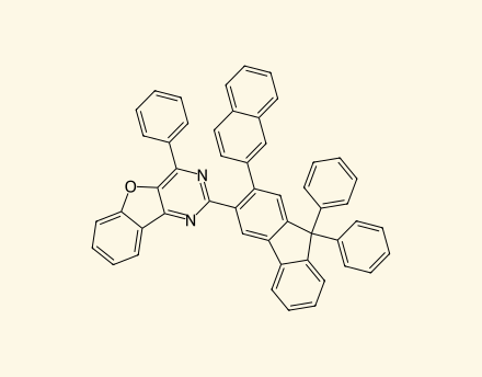 c1ccc(-c2nc(-c3cc4c(cc3-c3ccc5ccccc5c3)C(c3ccccc3)(c3ccccc3)c3ccccc3-4)nc3c2oc2ccccc23)cc1